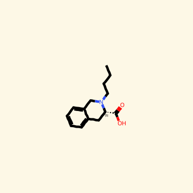 CCCCN1Cc2ccccc2C[C@H]1C(=O)O